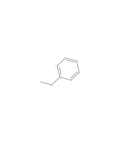 CCc1[c]c[c]cc1